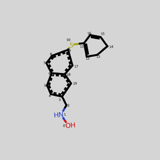 ONCc1ccc2ccc(SC3=CCCC=C3)cc2c1